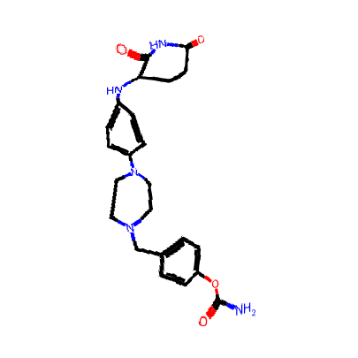 NC(=O)Oc1ccc(CN2CCN(c3ccc(NC4CCC(=O)NC4=O)cc3)CC2)cc1